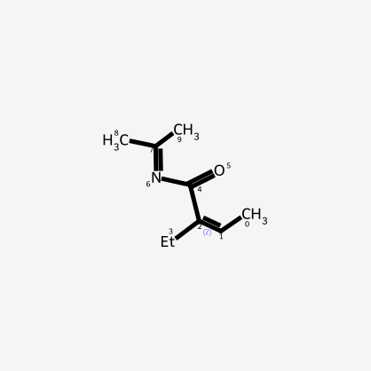 C/C=C(/CC)C(=O)N=C(C)C